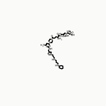 Nc1cc(N2CCN(C(=O)CC[C@H](N)C(=O)NCC3=CN(CCP(=O)(O)O)NN3)CC2)nc(NCc2cn(CCCNCCCNC3CCCCC3)nn2)n1